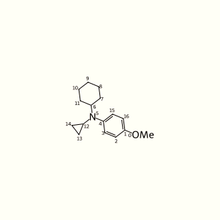 COc1ccc(N(C2CCCCC2)C2CC2)cc1